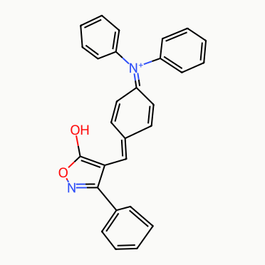 Oc1onc(-c2ccccc2)c1C=C1C=CC(=[N+](c2ccccc2)c2ccccc2)C=C1